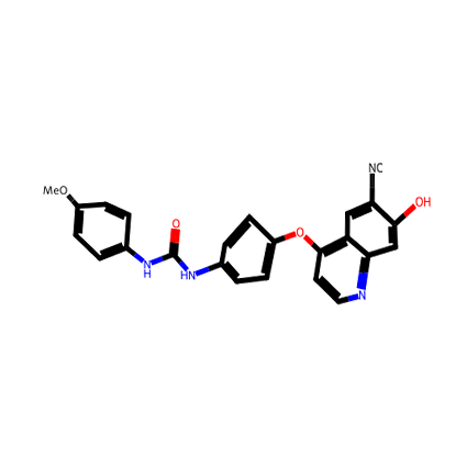 [C-]#[N+]c1cc2c(Oc3ccc(NC(=O)Nc4ccc(OC)cc4)cc3)ccnc2cc1O